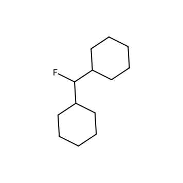 FC(C1CCCCC1)C1CCCCC1